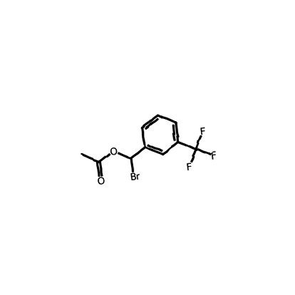 CC(=O)OC(Br)c1cccc(C(F)(F)F)c1